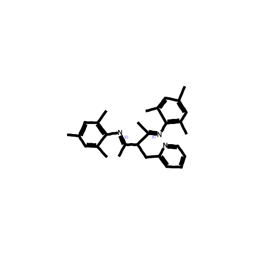 C/C(=N\c1c(C)cc(C)cc1C)C(Cc1ccccn1)/C(C)=N/c1c(C)cc(C)cc1C